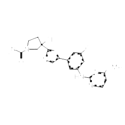 COc1ccnc(Nc2cc(C)cc(-c3cnc(C4(O)CCN(C(N)=O)C4)s3)c2)n1